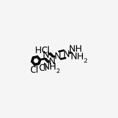 Cl.N=C(N)N1CCN(c2cnc(-c3cccc(Cl)c3Cl)c(N)n2)CC1